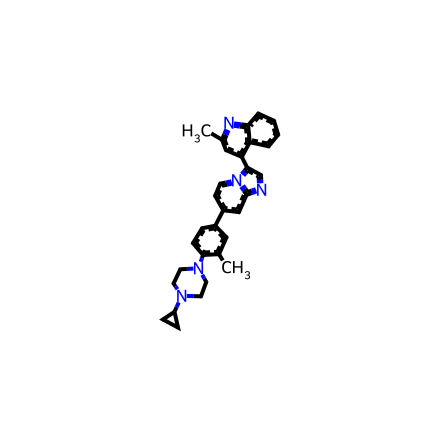 Cc1cc(-c2cnc3cc(-c4ccc(N5CCN(C6CC6)CC5)c(C)c4)ccn23)c2ccccc2n1